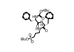 CC(C)COS(=O)(=O)CCCNC(=O)[C@@H](Cc1ccccc1)NC(=O)[C@H](Cc1ccccc1)NC(=O)OC(C)(C)C